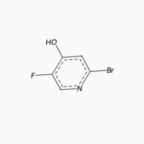 Oc1cc(Br)ncc1F